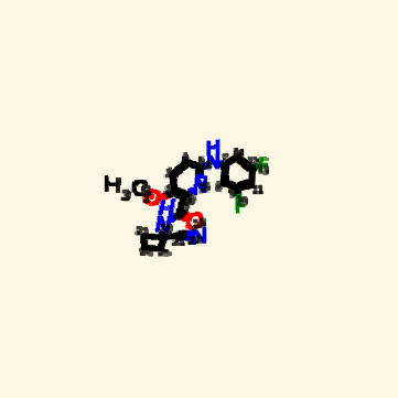 COc1ccc(Nc2cc(F)cc(F)c2)nc1C(=O)NC1(C#N)CCC1